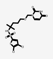 CC(C)(CCCOCn1ccc(=O)[nH]c1=O)NS(=O)(=O)c1cc(Cl)c(Cl)s1